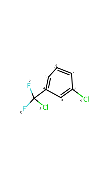 FC(F)(Cl)c1c[c]cc(Cl)c1